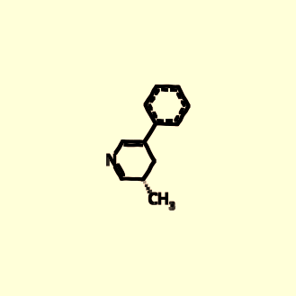 C[C@@H]1C=NC=C(c2ccccc2)C1